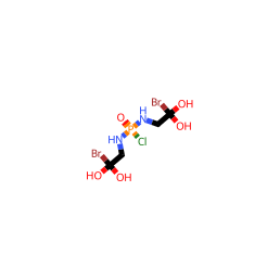 O=P(Cl)(NCC(O)(O)Br)NCC(O)(O)Br